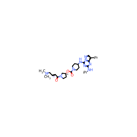 CC(C)Nc1nc(NC2CCN(C(=O)O[C@H]3CCN(C(=O)/C=C/CN(C)C)C3)CC2)n2ncc(C(C)C)c2n1